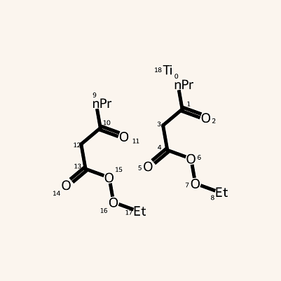 CCCC(=O)CC(=O)OOCC.CCCC(=O)CC(=O)OOCC.[Ti]